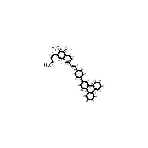 C=C/C=C\c1ccc(\C=C/C(=C\C)/C=C/c2ccc(-c3ccc4c5ccccc5c5ccccc5c4c3)cc2)c(C)c1C